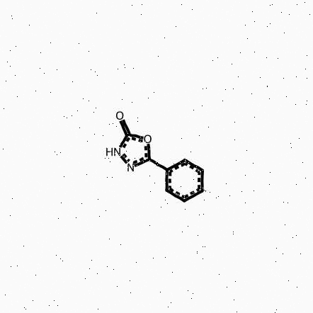 O=c1[nH]nc(-c2cc[c]cc2)o1